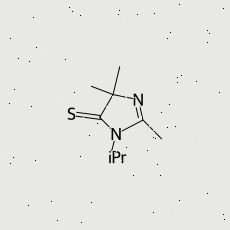 CC1=NC(C)(C)C(=S)N1C(C)C